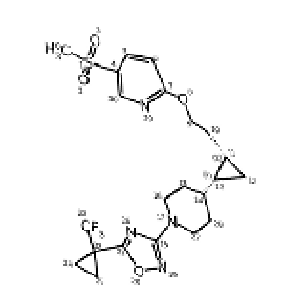 CS(=O)(=O)c1ccc(OCC[C@@H]2C[C@@H]2C2CCN(c3noc(C4(C(F)(F)F)CC4)n3)CC2)nc1